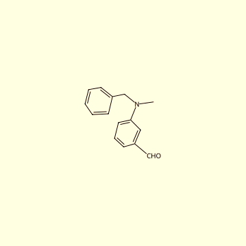 CN(Cc1ccccc1)c1cccc(C=O)c1